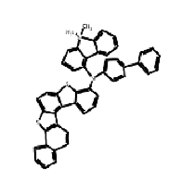 C[Si]1(C)c2ccccc2-c2c(N(c3ccc(-c4ccccc4)cc3)c3cccc4c3sc3ccc5sc6c7ccccc7ccc6c5c34)cccc21